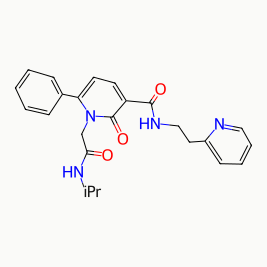 CC(C)NC(=O)Cn1c(-c2ccccc2)ccc(C(=O)NCCc2ccccn2)c1=O